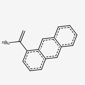 [CH]=C(CCCC)c1cccc2cc3ccccc3cc12